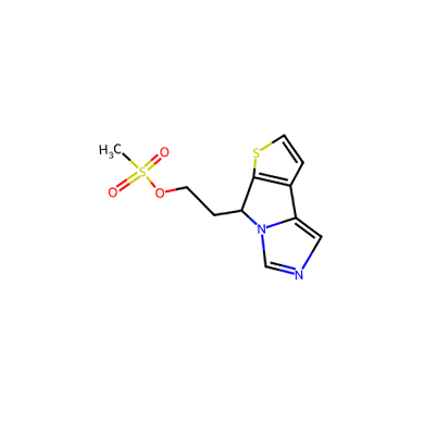 CS(=O)(=O)OCCC1c2sccc2-c2cncn21